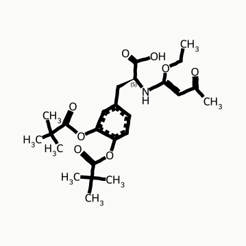 CCOC(=CC(C)=O)N[C@@H](Cc1ccc(OC(=O)C(C)(C)C)c(OC(=O)C(C)(C)C)c1)C(=O)O